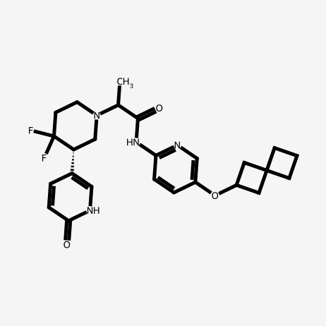 CC(C(=O)Nc1ccc(OC2CC3(CCC3)C2)cn1)N1CCC(F)(F)[C@@H](c2ccc(=O)[nH]c2)C1